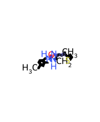 C=C(NC(=O)N1Cc2ccc(CC)cc2C1)/C(N)=C\C=C(/C)c1cccs1